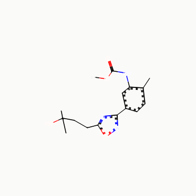 Cc1ccc(-c2noc(CCC(C)(C)O)n2)cc1NC(=O)OC(C)(C)C